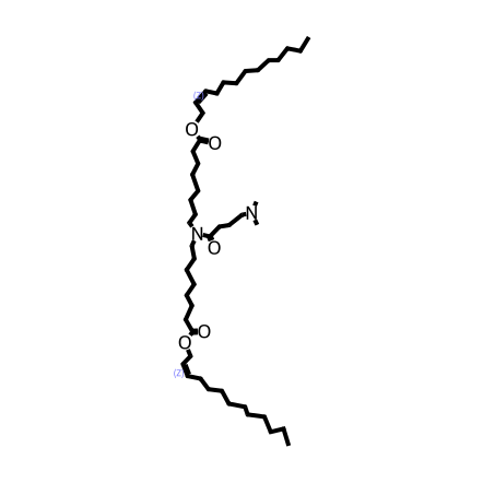 CCCCCCCCCC/C=C\COC(=O)CCCCCCCN(CCCCCCCC(=O)OC/C=C\CCCCCCCCCC)C(=O)CCCN(C)C